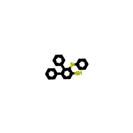 Sc1ccc(-c2ccccc2)c(-c2ccccc2)c1Sc1ccccc1